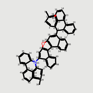 Cc1ccc(C(c2ccccc2-c2ccccc2)c2cc3oc4cc(N(c5ccc(C)cc5)c5ccccc5-c5ccccc5)c5ccccc5c4c3c3ccccc23)cc1